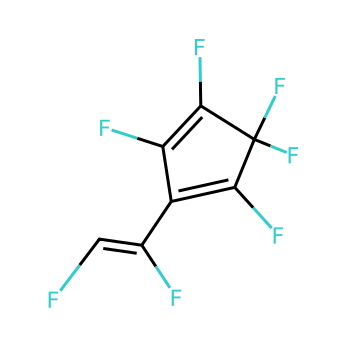 FC=C(F)C1=C(F)C(F)(F)C(F)=C1F